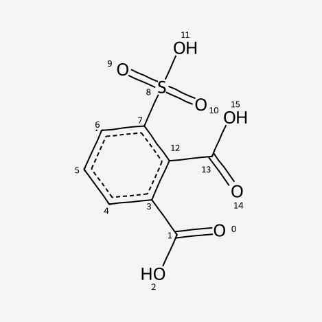 O=C(O)c1cc[c]c(S(=O)(=O)O)c1C(=O)O